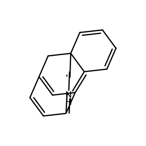 C1=CC2=c3cc4ccc3=CNC=CC2(C=C1)C4